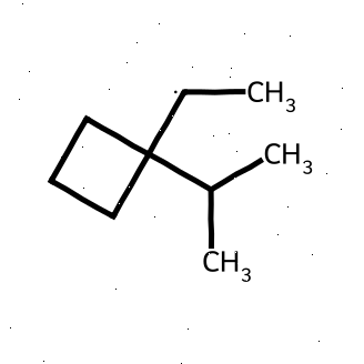 C[CH]C1(C(C)C)CCC1